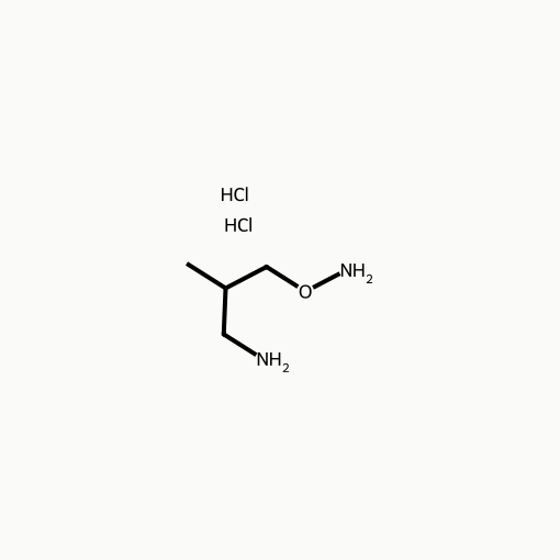 CC(CN)CON.Cl.Cl